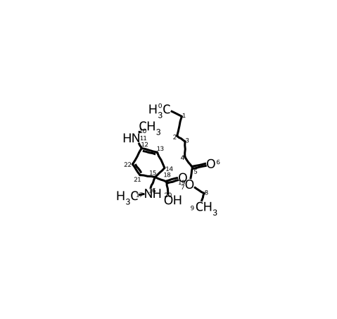 CCCCCC(=O)OCC.CNC1=CCC(NC)(C(=O)O)C=C1